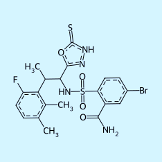 Cc1ccc(F)c(C(C)C(NS(=O)(=O)c2ccc(Br)cc2C(N)=O)c2n[nH]c(=S)o2)c1C